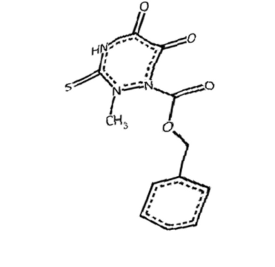 Cn1c(=S)[nH]c(=O)c(=O)n1C(=O)OCc1ccccc1